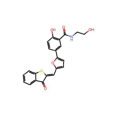 O=C(NCCO)c1cc(-c2ccc(C=C3Sc4ccccc4C3=O)o2)ccc1O